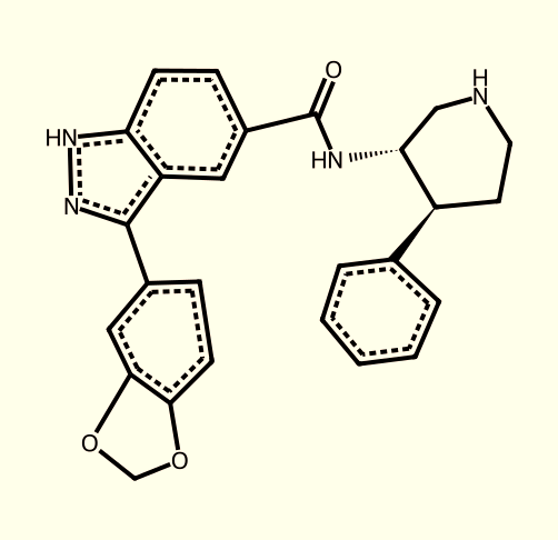 O=C(N[C@@H]1CNCC[C@H]1c1ccccc1)c1ccc2[nH]nc(-c3ccc4c(c3)OCO4)c2c1